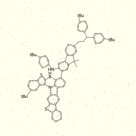 CC(C)(C)c1ccc(Nc2cc3c(cc2-c2ccc4c5cc6c(cc5n5c4c2Bc2sc4ccc(C(C)(C)C)cc4c2-5)sc2ccccc26)C(C)(C)c2cc(CCC(c4ccc(C(C)(C)C)cc4)c4ccc(C(C)(C)C)cc4)ccc2-3)cc1